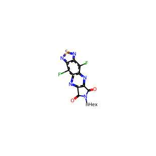 CCCCCCN1C(=O)c2nc3c(F)c4nsnc4c(F)c3nc2C1=O